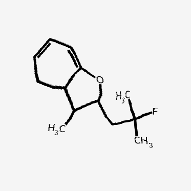 CC1C(CC(C)(C)F)OC2=CC=CCC21